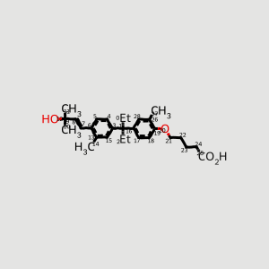 CCC(CC)(c1ccc(/C=C/C(C)(C)O)c(C)c1)c1ccc(OCCCCC(=O)O)c(C)c1